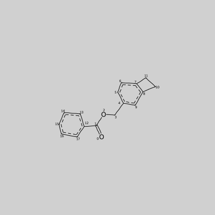 O=C(OCc1ccc2c(c1)CC2)c1ccccc1